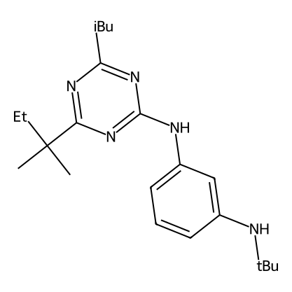 CCC(C)c1nc(Nc2cccc(NC(C)(C)C)c2)nc(C(C)(C)CC)n1